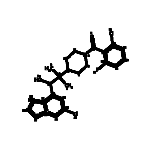 CC(C)(C1CCN(C(=O)c2c(F)cccc2Cl)CC1)C(O)c1cc(Cl)cc2cn[nH]c12